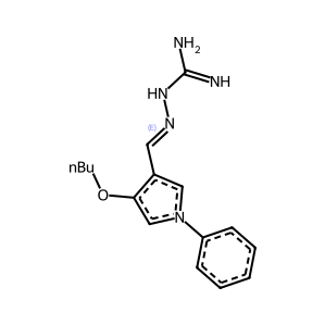 CCCCOc1cn(-c2ccccc2)cc1/C=N/NC(=N)N